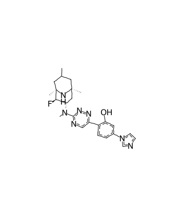 CC1C[C@@]2(C)C[C@H](N(C)c3ncc(-c4ccc(-n5ccnc5)cc4O)nn3)[C@@H](F)[C@@](C)(C1)N2